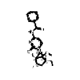 CC[C@@]12C[C@H](C)[C@@H]([C@H](n3ccc(NC(=O)c4ccccc4)nc3=O)O1)[C@@H]2OC